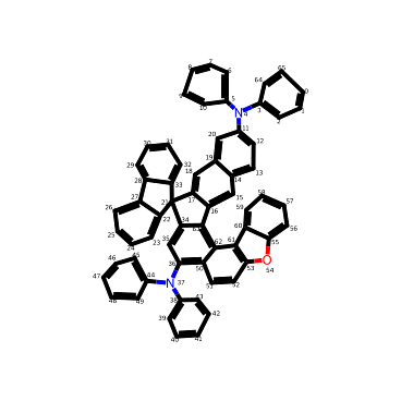 c1ccc(N(c2ccccc2)c2ccc3cc4c(cc3c2)C2(c3ccccc3-c3ccccc32)c2cc(N(c3ccccc3)c3ccccc3)c3ccc5oc6ccccc6c5c3c2-4)cc1